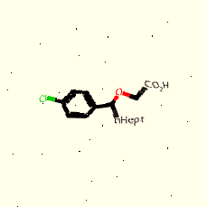 CCCCCCCC(OCC(=O)O)c1ccc(Cl)cc1